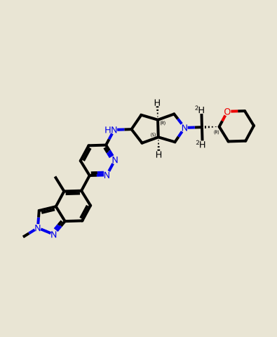 [2H]C([2H])([C@H]1CCCCO1)N1C[C@H]2CC(Nc3ccc(-c4ccc5nn(C)cc5c4C)nn3)C[C@H]2C1